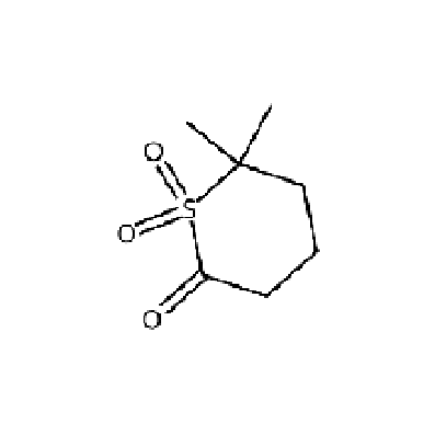 CC1(C)CCCC(=O)S1(=O)=O